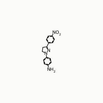 Nc1ccc(N2CCC(c3ccc([N+](=O)[O-])cc3)=N2)cc1